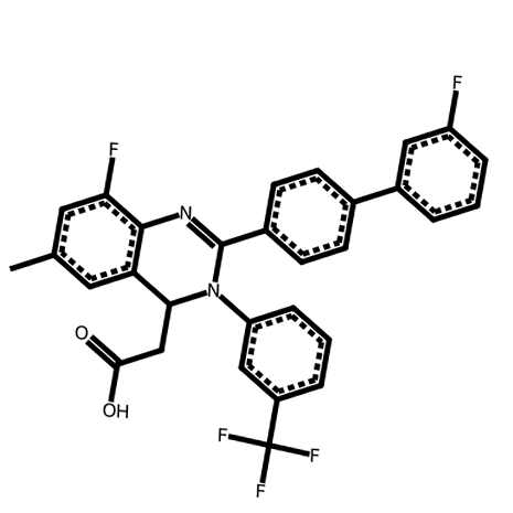 Cc1cc(F)c2c(c1)C(CC(=O)O)N(c1cccc(C(F)(F)F)c1)C(c1ccc(-c3cccc(F)c3)cc1)=N2